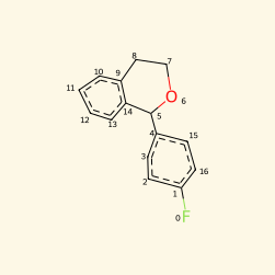 Fc1ccc(C2OCCc3ccccc32)cc1